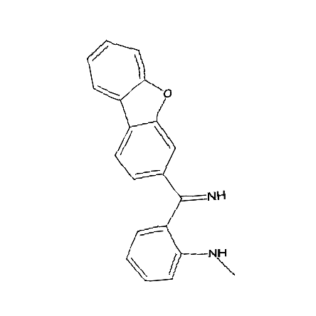 CNc1ccccc1C(=N)c1ccc2c(c1)oc1ccccc12